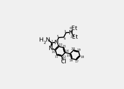 CCN(CC)CCCn1c(N)nc2cc(Cl)c(-c3ccccc3)cc21